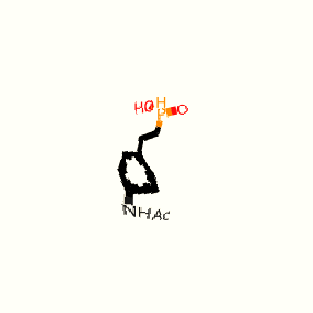 CC(=O)Nc1ccc(CC[PH](=O)O)cc1